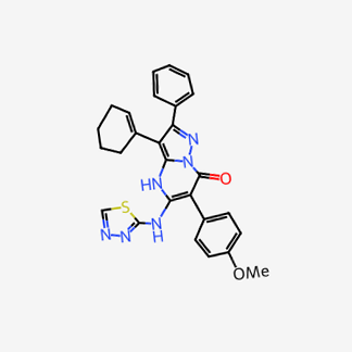 COc1ccc(-c2c(Nc3nncs3)[nH]c3c(C4=CCCCC4)c(-c4ccccc4)nn3c2=O)cc1